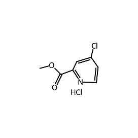 COC(=O)c1cc(Cl)ccn1.Cl